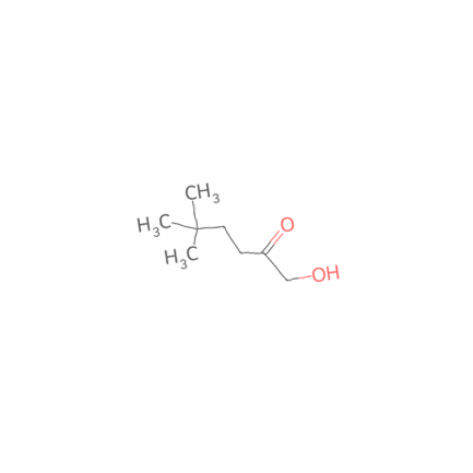 CC(C)(C)CCC(=O)CO